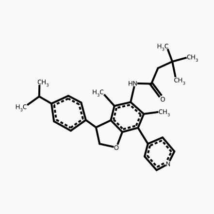 Cc1c(NC(=O)CC(C)(C)C)c(C)c2c(c1-c1ccncc1)OCC2c1ccc(C(C)C)cc1